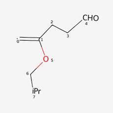 [CH]=C(CCC=O)OCC(C)C